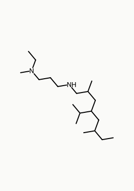 CCC(C)CC(CC(C)CNCCCN(C)CC)C(C)C